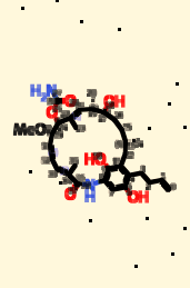 C=CCCc1c(O)cc2c(O)c1C[C@@H](C)CC[C@H](O)[C@@H](C)/C=C(\C)[C@H](OC(N)=O)[C@@H](OC)/C=C\C=C(/C)C(=O)N2